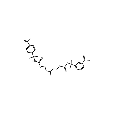 C=C(C)c1ccc(C(C)(C)NC(=O)OCCC(C)CCOC(=O)NC(C)(C)c2cccc(C(=C)C)c2)cc1